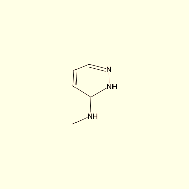 CNC1C=CC=NN1